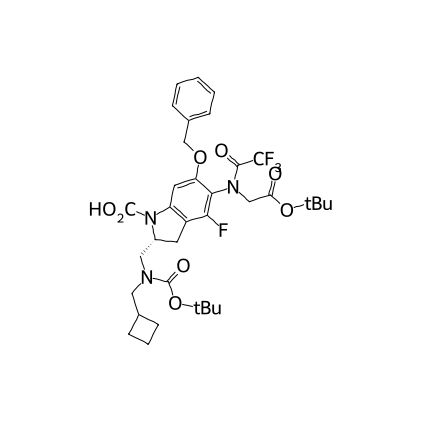 CC(C)(C)OC(=O)CN(C(=O)C(F)(F)F)c1c(OCc2ccccc2)cc2c(c1F)C[C@H](CN(CC1CCC1)C(=O)OC(C)(C)C)N2C(=O)O